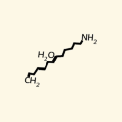 C=CCC=CCC=CCCCCCN.O